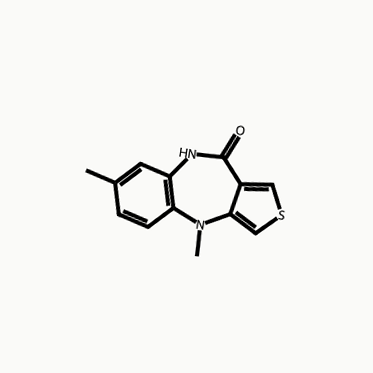 Cc1ccc2c(c1)NC(=O)c1cscc1N2C